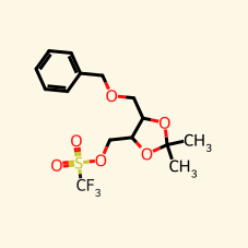 CC1(C)OC(COCc2ccccc2)C(COS(=O)(=O)C(F)(F)F)O1